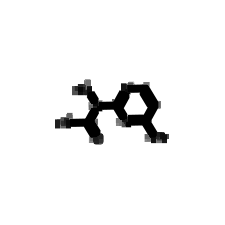 CCCCN(C(=O)CCC)c1nccc(CCC)n1